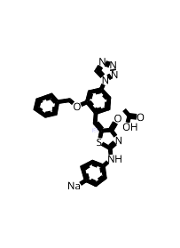 CC(=O)O.O=C1N=C(Nc2cc[c]([Na])cc2)S/C1=C/c1ccc(-n2cnnn2)cc1OCc1ccccc1